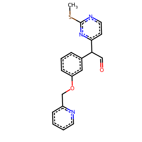 CSc1nccc(C(C=O)c2cccc(OCc3ccccn3)c2)n1